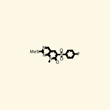 CSc1ncc2cc(S(=O)(=O)c3ccc(F)cc3)c(=O)n(C)c2n1